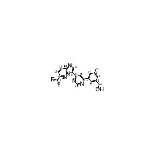 Cc1cc(CO)cc(-c2cc(-c3cnc4ccc(C(F)F)nn34)ncn2)c1